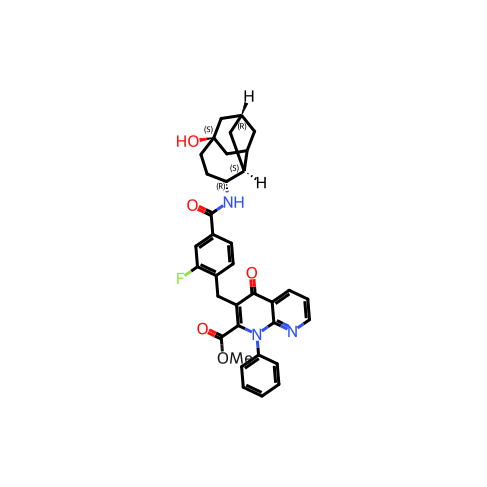 COC(=O)c1c(Cc2ccc(C(=O)N[C@@H]3CC[C@@]4(O)CC5C[C@H](C[C@@H]53)C4)cc2F)c(=O)c2cccnc2n1-c1ccccc1